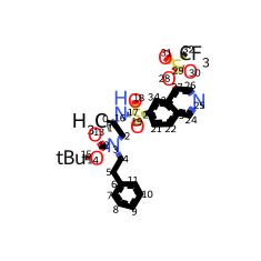 C[C@H](CN(CCc1ccccc1)C(=O)OC(C)(C)C)NS(=O)(=O)c1ccc2cncc(OS(=O)(=O)C(F)(F)F)c2c1